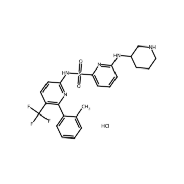 Cc1ccccc1-c1nc(NS(=O)(=O)c2cccc(NC3CCCNC3)n2)ccc1C(F)(F)F.Cl